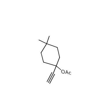 C#CC1(OC(C)=O)CCC(C)(C)CC1